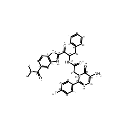 CN(C)C(=O)c1ccc2oc(C(=O)C(Cc3ccccc3)NC(=O)Cn3c(-c4ccc(F)cc4)ncc(N)c3=O)nc2c1